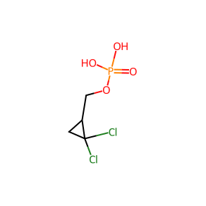 O=P(O)(O)OCC1CC1(Cl)Cl